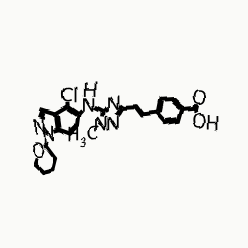 Cn1nc(CCc2ccc(C(=O)O)cc2)nc1Nc1ccc2c(cnn2C2CCCCO2)c1Cl